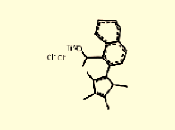 CC1=C(C)C(C)C(c2ccc3ccccc3c2C(C)[O][Ti+2])=C1C.[Cl-].[Cl-]